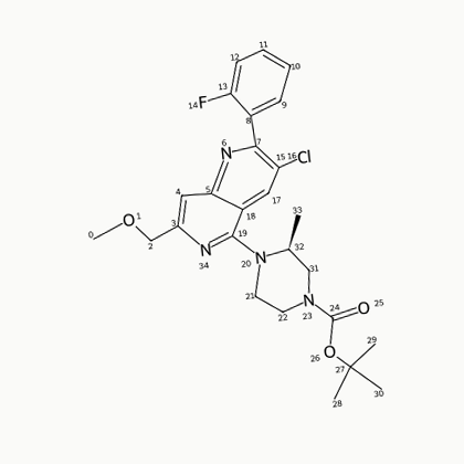 COCc1cc2nc(-c3ccccc3F)c(Cl)cc2c(N2CCN(C(=O)OC(C)(C)C)C[C@@H]2C)n1